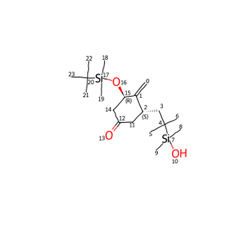 C=C1[C@H](CC(C)(C)[Si](C)(C)O)CC(=O)C[C@H]1O[Si](C)(C)C(C)(C)C